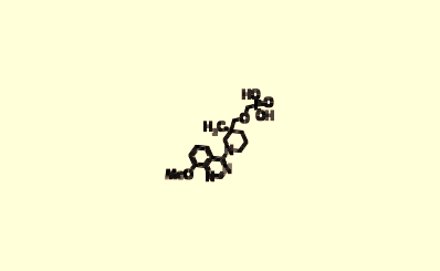 COc1cccc2c(N3CCC[C@@](C)(COCP(=O)(O)O)C3)ncnc12